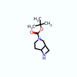 CC(C)(C)OC(=O)N1CCC2NCC2C1